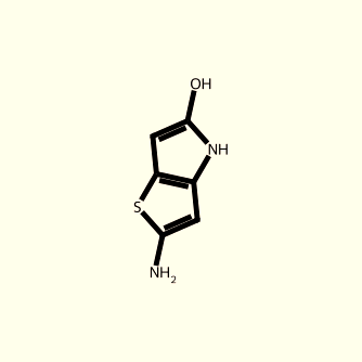 Nc1cc2[nH]c(O)cc2s1